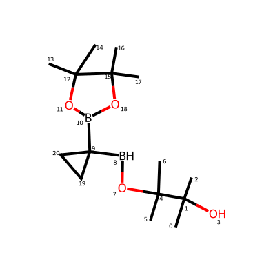 CC(C)(O)C(C)(C)OBC1(B2OC(C)(C)C(C)(C)O2)CC1